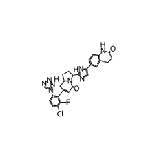 O=C1CCc2cc(-c3cnc([C@@H]4CC[C@@H]5CC(c6c(-n7cnnn7)ccc(Cl)c6F)=CC(=O)N54)[nH]3)ccc2N1